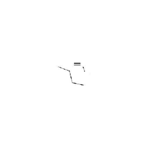 CCCC.O=PO